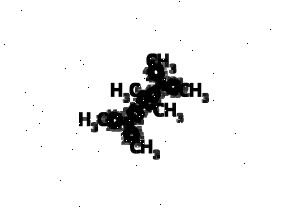 CCCC(CCC)(c1ccc(N(c2ccc(C)cc2)c2ccc(C)cc2)cc1)c1ccc(N(c2ccc(C)cc2)c2ccc(C)cc2)cc1